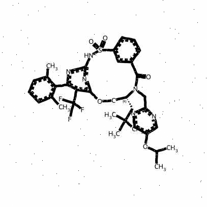 Cc1cccc(C)c1-c1nc2nc(c1C(F)(F)F)OC[C@@H](CC(C)(C)C)N(Cc1ncc(OC(C)C)cn1)C(=O)c1cccc(c1)S(=O)(=O)N2